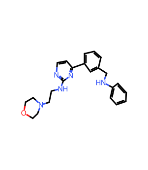 c1ccc(NCc2cccc(-c3ccnc(NCCN4CCOCC4)n3)c2)cc1